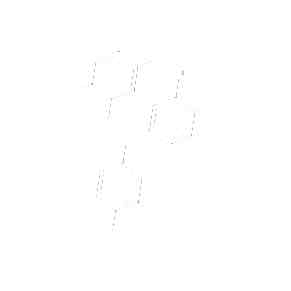 COc1ccc(C)c(-c2c(Oc3ccc(Cl)c(Cl)c3)ncc(C(=O)O)c2N)c1C